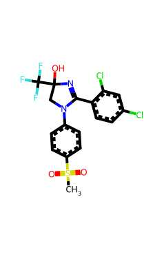 CS(=O)(=O)c1ccc(N2CC(O)(C(F)(F)F)N=C2c2ccc(Cl)cc2Cl)cc1